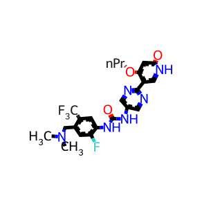 CCCOc1cc(=O)[nH]cc1-c1ncc(NC(=O)Nc2cc(C(F)(F)F)c(CN(C)C)cc2F)cn1